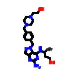 CCC[C@@H](CCO)Nc1nc(N)nc2cnn(Cc3ccc(CN4CCN(CCO)CC4)cc3)c12